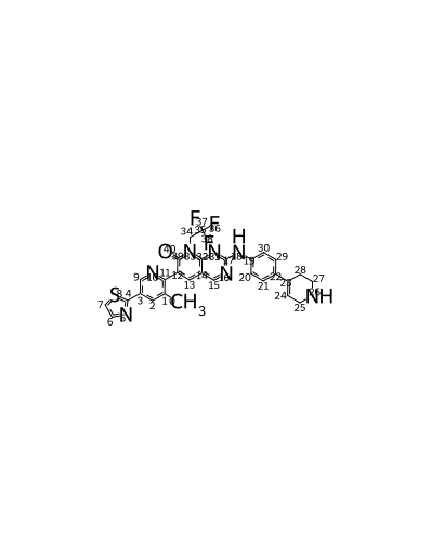 Cc1cc(-c2nccs2)cnc1-c1cc2cnc(Nc3ccc(C4=CCNCC4)cc3)nc2n(CC(F)(F)F)c1=O